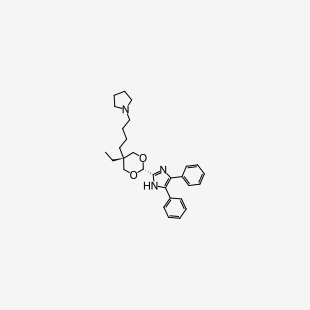 CC[C@]1(CCCCN2CCCC2)CO[C@@H](c2nc(-c3ccccc3)c(-c3ccccc3)[nH]2)OC1